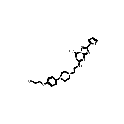 NCCOc1ccc(N2CCN(CCNc3nc(N)n4nc(-c5ccco5)nc4n3)CC2)cc1